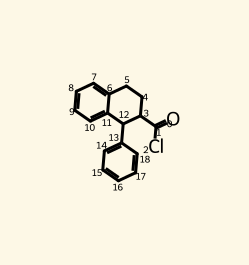 O=C(Cl)C1CCc2ccccc2C1c1ccccc1